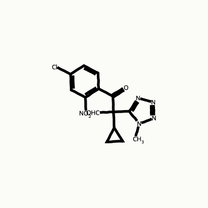 Cn1nnnc1C(C=O)(C(=O)c1ccc(Cl)cc1[N+](=O)[O-])C1CC1